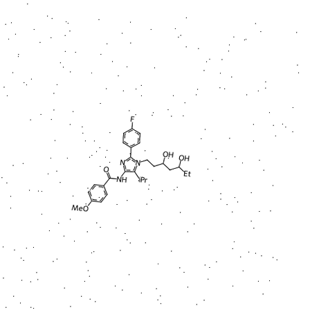 [CH2]CC(O)CC(O)CCn1c(-c2ccc(F)cc2)nc(NC(=O)c2ccc(OC)cc2)c1C(C)C